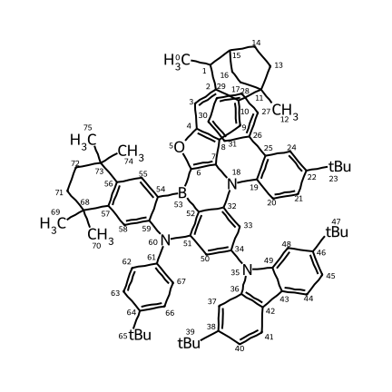 CC1c2cc3oc4c(c3cc2C2(C)CCC1CC2)N(c1ccc(C(C)(C)C)cc1-c1ccccc1)c1cc(-n2c3cc(C(C)(C)C)ccc3c3ccc(C(C)(C)C)cc32)cc2c1B4c1cc3c(cc1N2c1ccc(C(C)(C)C)cc1)C(C)(C)CCC3(C)C